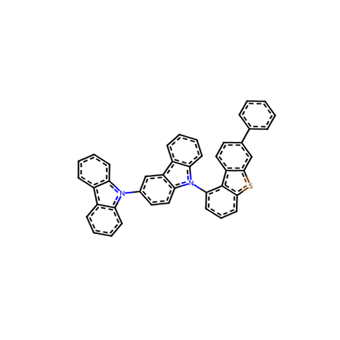 c1ccc(-c2ccc3c(c2)sc2cccc(-n4c5ccccc5c5cc(-n6c7ccccc7c7ccccc76)ccc54)c23)cc1